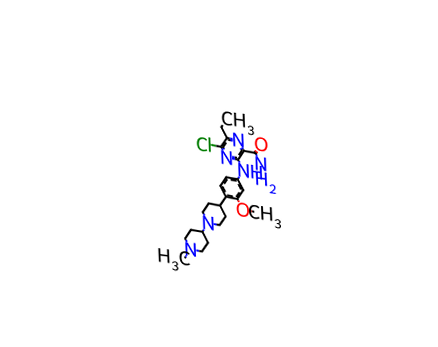 CCc1nc(C(N)=O)c(Nc2ccc(C3CCN(C4CCN(C)CC4)CC3)c(OC)c2)nc1Cl